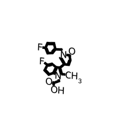 Cc1c(-c2ccc(=O)n(Cc3ccc(F)cc3)c2)c2cc(F)ccc2n1CC(=O)O